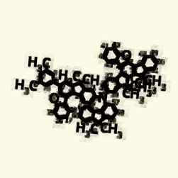 Cc1cc(C)cc(-c2cc3c(c4c2oc2ccccc24)-c2ccc(N(c4ccc5c(c4)C(C)(C)c4c6c(c7oc8ccccc8c7c4-5)-c4ccccc4C6(C)C)c4cccc5c4-c4ccccc4C5(C)C)cc2C3(C)C)c1